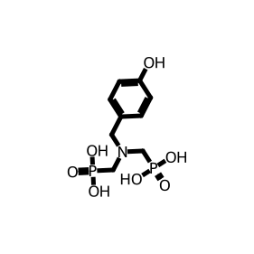 O=P(O)(O)CN(Cc1ccc(O)cc1)CP(=O)(O)O